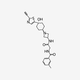 C#Cc1ncc([C@]2(O)CC[C@H](N3CC(NC(=O)CNC(=O)c4cccc(C)c4)C3)CC2)s1